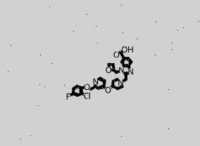 O=C(O)c1ccc2nc(CN3CCC(Oc4ccnc(COc5ccc(F)cc5Cl)c4)CC3)n(CC3CCO3)c2c1